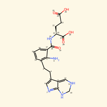 Nc1c(CCC2=CN=C3NCNC=C23)cccc1C(=O)N[C@@H](CCC(=O)O)C(=O)O